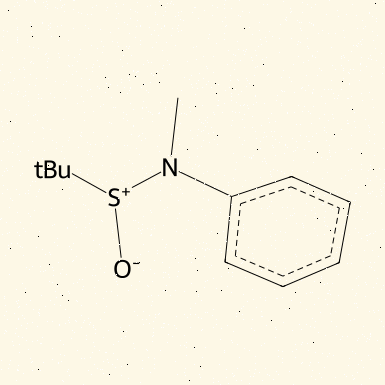 CN(c1ccccc1)[S+]([O-])C(C)(C)C